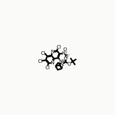 CC(C)(C)OC(=O)N1CC2CC1C2Nc1c([N+](=O)[O-])c(Cl)nc2c(Cl)c(Cl)c(Cl)nc12